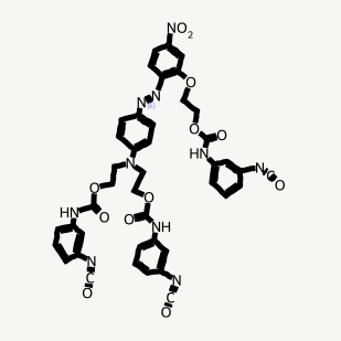 O=C=Nc1cccc(NC(=O)OCCOc2cc([N+](=O)[O-])ccc2/N=N/c2ccc(N(CCOC(=O)Nc3cccc(N=C=O)c3)CCOC(=O)Nc3cccc(N=C=O)c3)cc2)c1